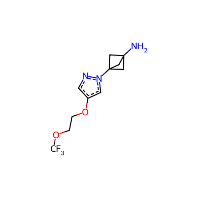 NC12CC(n3cc(OCCOC(F)(F)F)cn3)(C1)C2